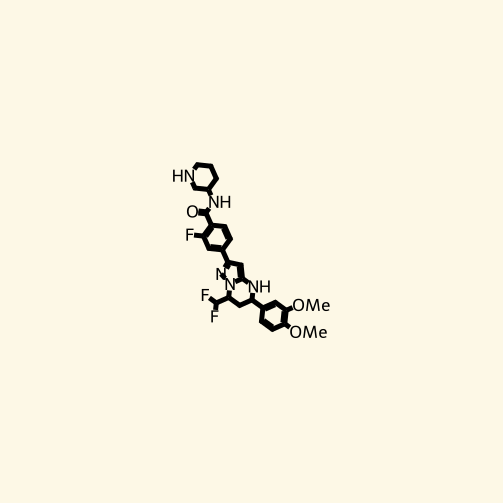 COc1ccc(C2CC(C(F)F)n3nc(-c4ccc(C(=O)NC5CCCNC5)c(F)c4)cc3N2)cc1OC